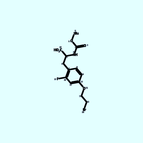 CC(C)(C)OC(=O)NC(Cc1ccc(OCCBr)cc1F)C(=O)O